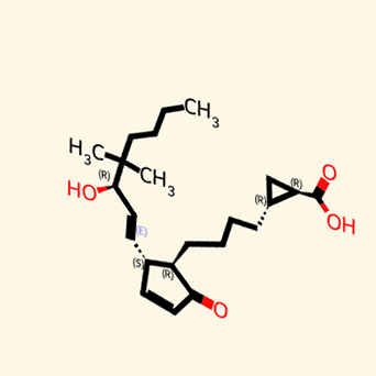 CCCCC(C)(C)[C@H](O)/C=C/[C@H]1C=CC(=O)[C@@H]1CCCC[C@@H]1C[C@H]1C(=O)O